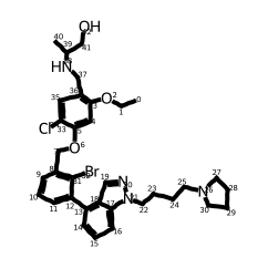 CCOc1cc(OCc2cccc(-c3cccc4c3cnn4CCCCN3CCCC3)c2Br)c(Cl)cc1CNC(C)CO